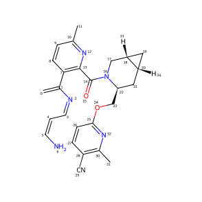 C=C(/N=C\C=C/N)c1ccc(C)nc1C(=O)N1C[C@@H]2C[C@@H]2C[C@H]1COc1ccc(C#N)c(C)n1